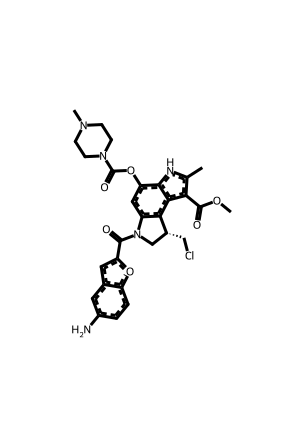 COC(=O)c1c(C)[nH]c2c(OC(=O)N3CCN(C)CC3)cc3c(c12)[C@H](CCl)CN3C(=O)c1cc2cc(N)ccc2o1